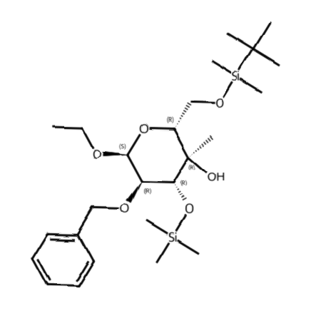 CCO[C@H]1O[C@H](CO[Si](C)(C)C(C)(C)C)[C@@](C)(O)[C@H](O[Si](C)(C)C)[C@H]1OCc1ccccc1